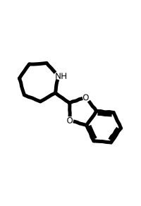 c1ccc2c(c1)OC(C1CCCCCN1)O2